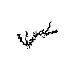 CCCCCCCC(C)(CCCCCC)C(=O)C(C)(C)CC(C)(C)Cn1cc(C(C)CC(C)C(=O)C(C)(CCCCCC)CCCCCC)nn1